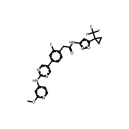 COc1cc(Nc2ncc(-c3ccc(CC(=O)Nc4cc(C5(C(F)(F)F)CC5)on4)c(F)c3)cn2)ccn1